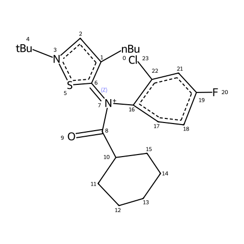 CCCCc1cn(C(C)(C)C)s/c1=[N+](\C(=O)C1CCCCC1)c1ccc(F)cc1Cl